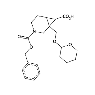 O=C(O)C1C2CCN(C(=O)OCc3ccccc3)CC21COC1CCCCO1